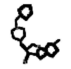 Cc1ccc2cc3n(c2c1)CC(=CC1CCN(Cc2ccccc2)CC1)C3=O